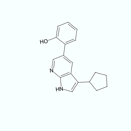 Oc1ccccc1-c1cnc2[nH]cc(C3CCCC3)c2c1